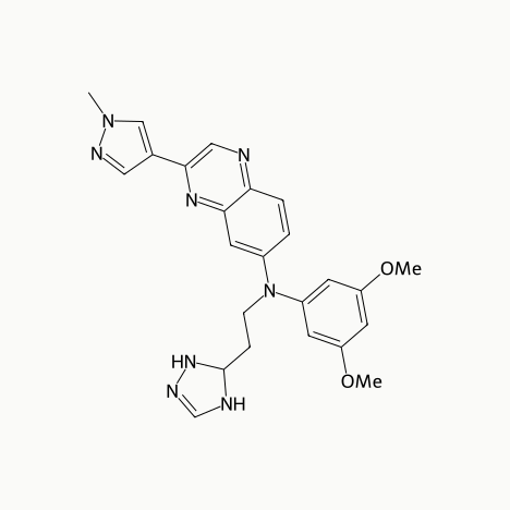 COc1cc(OC)cc(N(CCC2NC=NN2)c2ccc3ncc(-c4cnn(C)c4)nc3c2)c1